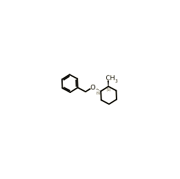 C[C@H]1CCCC[C@@H]1OCc1ccccc1